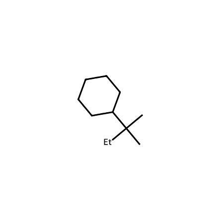 [CH2]CC(C)(C)C1CCCCC1